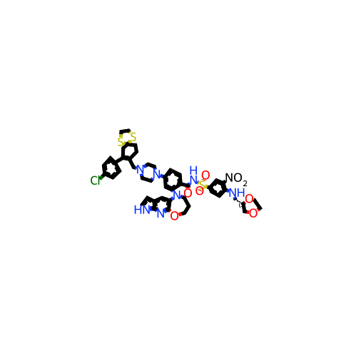 O=C(NS(=O)(=O)c1ccc(NC[C@H]2COCCO2)c([N+](=O)[O-])c1)c1ccc(N2CCN(CC3=C(c4ccc(Cl)cc4)CC4(CC3)SCCS4)CC2)cc1N1CCCOc2nc3[nH]ccc3cc21